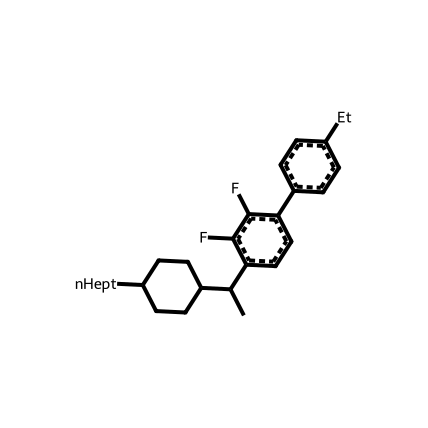 CCCCCCCC1CCC(C(C)c2ccc(-c3ccc(CC)cc3)c(F)c2F)CC1